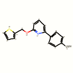 CSc1ccc(-c2cccc(OCc3cccs3)n2)cc1